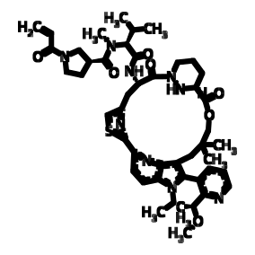 C=CC(=O)N1CC[C@H](C(=O)N(C)[C@H](C(=O)N[C@H]2Cc3csc(n3)-c3ccc4c(n3)c(c(-c3cccnc3[C@H](C)OC)n4CC)CC(C)(C)COC(=O)[C@@H]3CCCN(N3)C2=O)C(C)C)C1